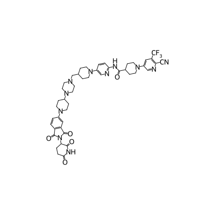 N#Cc1ncc(N2CCC(C(=O)Nc3ccc(N4CCC(CN5CCN(C6CCN(c7ccc8c(c7)C(=O)N(C7CCC(=O)NC7=O)C8=O)CC6)CC5)CC4)cn3)CC2)cc1C(F)(F)F